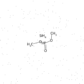 CO[PH](=O)OC.[SiH4]